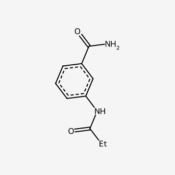 CCC(=O)Nc1cccc(C(N)=O)c1